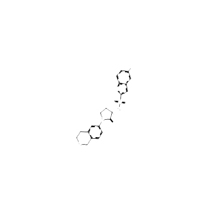 O=C1[C@@H](NS(=O)(=O)c2cc3cc(Cl)ccc3s2)CCN1c1ccc2c(c1)CCNC2